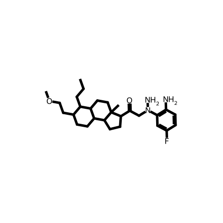 CCCC1C(CCOC)CCC2C1CCC1(C)C(C(=O)CN(N)c3cc(F)ccc3N)CCC21